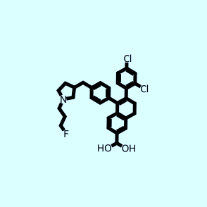 OC(O)c1ccc2c(c1)CCC(c1ccc(Cl)cc1Cl)=C2c1ccc(CC2CCN(CCCF)C2)cc1